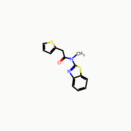 CN(C(=O)Cc1cccs1)c1nc2ccccc2s1